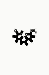 C=NC(=O)C(=C)C(=C)C(=C)C(=C)C(=C)C(=C)C(=C)C(=C)C(N)=O